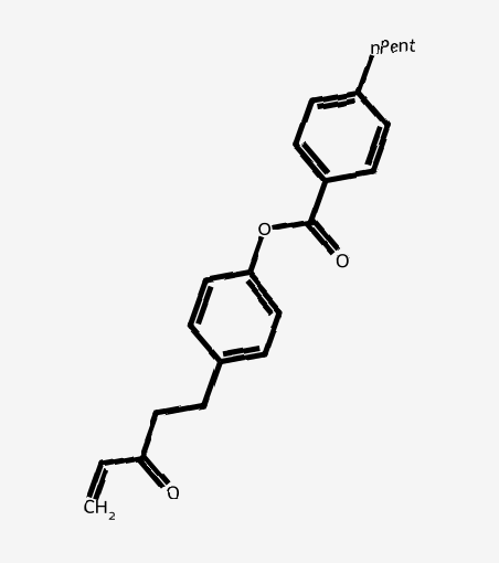 C=CC(=O)CCc1ccc(OC(=O)c2ccc(CCCCC)cc2)cc1